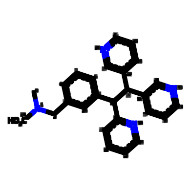 CN(Cc1cccc(C(c2ccccn2)C(c2cccnc2)c2cccnc2)c1)C(=O)O